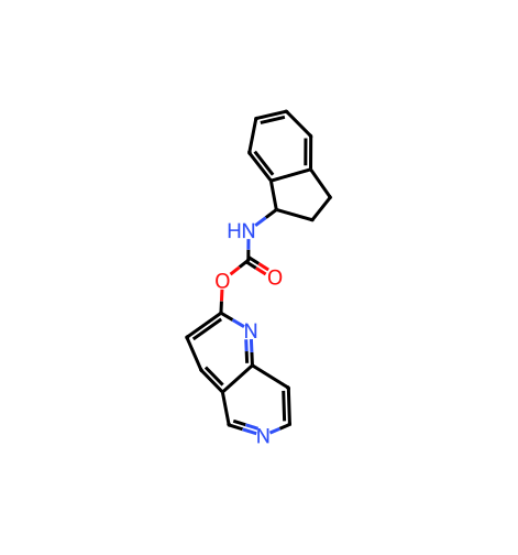 O=C(NC1CCc2ccccc21)Oc1ccc2cnccc2n1